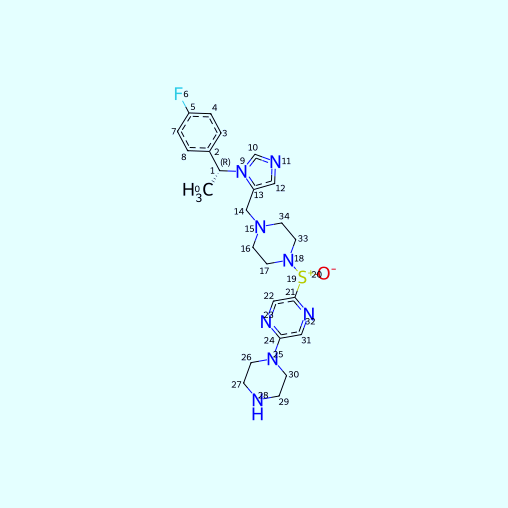 C[C@H](c1ccc(F)cc1)n1cncc1CN1CCN([S+]([O-])c2cnc(N3CCNCC3)cn2)CC1